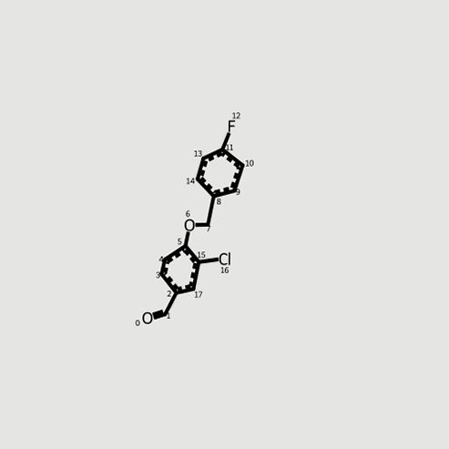 O=Cc1ccc(OCc2ccc(F)cc2)c(Cl)c1